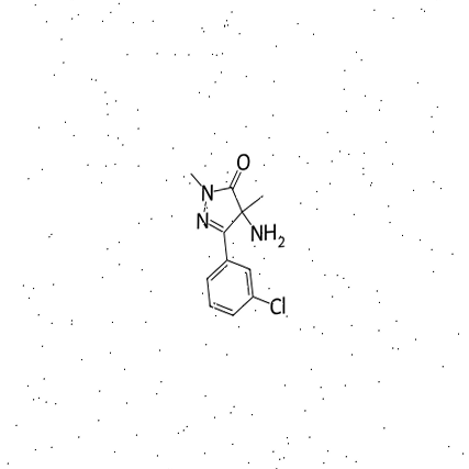 CN1N=C(c2cccc(Cl)c2)C(C)(N)C1=O